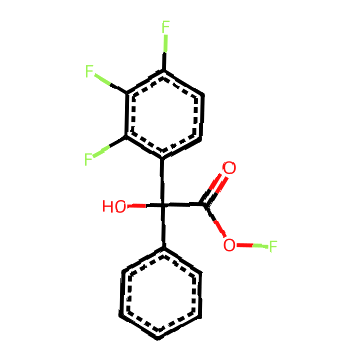 O=C(OF)C(O)(c1ccccc1)c1ccc(F)c(F)c1F